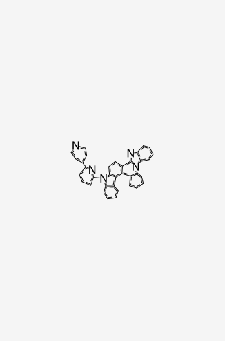 c1cc(-c2ccncc2)nc(-n2c3ccccc3c3c4c5ccccc5n5c6ccccc6nc5c4ccc32)c1